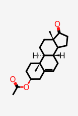 CC(=O)O[C@H]1CC[C@@]2(C)C(=CC[C@H]3C4CCC(=O)[C@@]4(C)CC[C@@H]32)C1